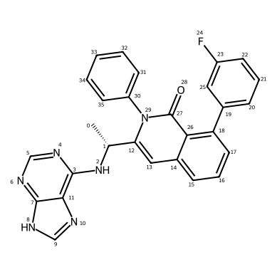 C[C@@H](Nc1ncnc2[nH]cnc12)c1cc2cccc(-c3cccc(F)c3)c2c(=O)n1-c1ccccc1